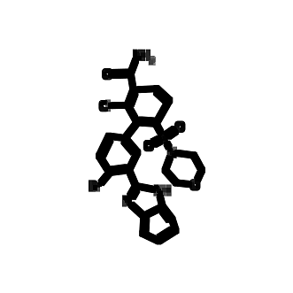 NC(=O)c1ccc(S(=O)(=O)N2CCOCC2)c(-c2ccc(Br)c(-c3nc4ccccc4[nH]3)c2)c1Cl